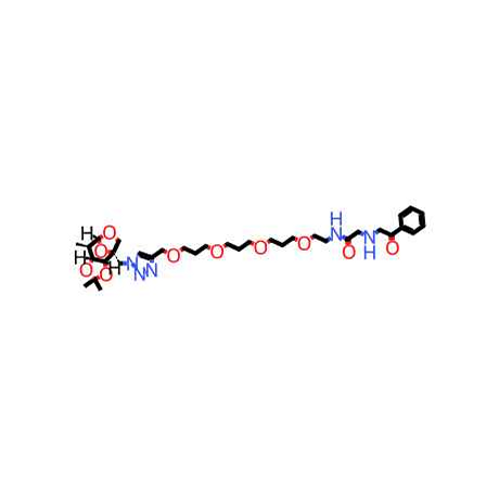 C[C@H]1[C@@H]2OC[C@](Cn3cc(COCCCOCCCOCCCOCCNC(=O)CNCC(=O)c4ccccc4)nn3)(O2)[C@@H]2OC(C)(C)O[C@H]12